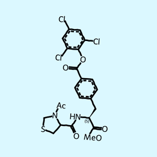 COC(=O)[C@H](Cc1ccc(C(=O)Oc2c(Cl)cc(Cl)cc2Cl)cc1)NC(=O)C1CSCN1C(C)=O